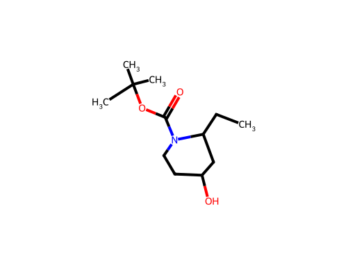 CCC1CC(O)CCN1C(=O)OC(C)(C)C